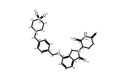 C=C1CCC(N2Cc3c(OCc4ccc(CN5CCS(=O)(=O)CC5)cc4)cccc3C2=O)C(=O)N1